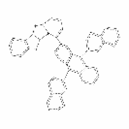 C1=CC2NC3c4ccccc4SC3N2C(c2ccc3c(-c4ccc5ccccc5c4)c4ccccc4c(-c4ccc5ccccc5c4)c3c2)=C1